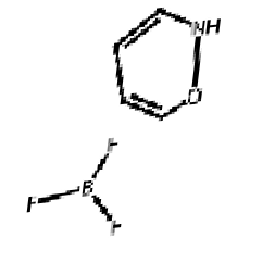 C1=CNOC=C1.FB(F)F